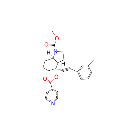 COC(=O)N1CC[C@@H]2[C@H]1CCC[C@]2(C#Cc1cccc(C)c1)OC(=O)c1ccncc1